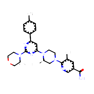 Cc1cc(C(N)=O)cnc1N1CCN(c2cc(-c3ccc(C#N)cc3)nc(N3CCOC[C@H]3C)n2)[C@H](C)C1